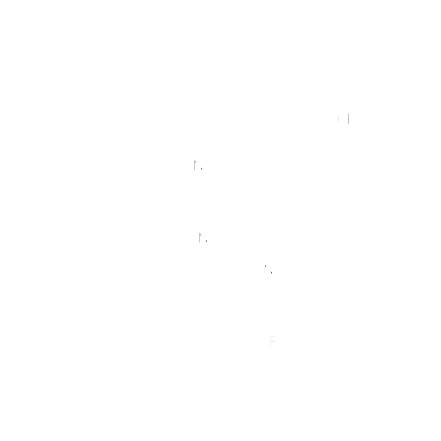 CC1CC(C)CN(c2nc(-c3ccccc3F)nc3ccc(Cl)cc23)C1